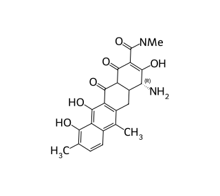 CNC(=O)C1=C(O)[C@H](N)C2Cc3c(c(O)c4c(O)c(C)ccc4c3C)C(=O)C2C1=O